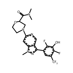 CN(C)C(=O)C1CN(c2cc3c(cn2)c(-c2cc(C(F)(F)F)c(F)c(O)c2F)nn3C)CCO1